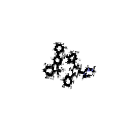 C/C=C\C(=C/C)c1nc(-c2ccccc2)nc(-c2cccc(-n3c4ccccc4c4cc5c(cc43)C(C)(C)c3ccccc3-5)c2)n1